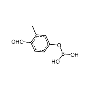 Cc1cc(OB(O)O)ccc1C=O